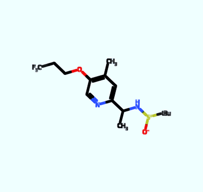 Cc1cc(C(C)N[S+]([O-])C(C)(C)C)ncc1OCCC(F)(F)F